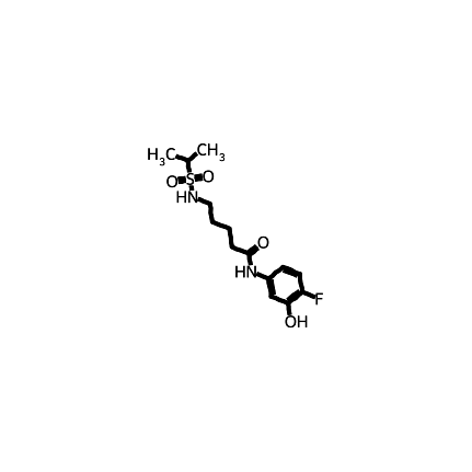 CC(C)S(=O)(=O)NCCCCC(=O)Nc1ccc(F)c(O)c1